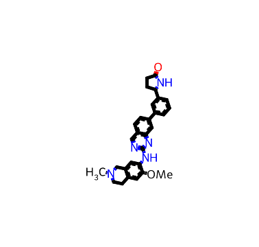 COc1cc2c(cc1Nc1ncc3ccc(-c4cccc(C5CCC(=O)N5)c4)cc3n1)CN(C)CC2